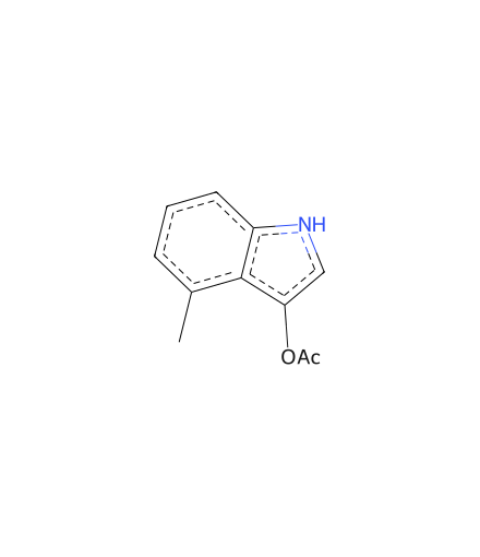 CC(=O)Oc1c[nH]c2cccc(C)c12